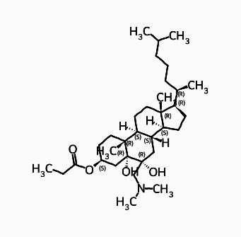 CCC(=O)O[C@H]1CC[C@]2(C)[C@H]3CC[C@]4(C)[C@@H]([C@H](C)CCCC(C)C)CC[C@H]4[C@@H]3C[C@@](O)(CN(C)C)[C@@]2(O)C1